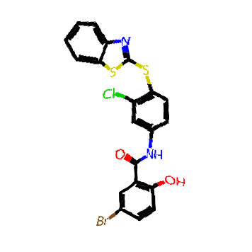 O=C(Nc1ccc(Sc2nc3ccccc3s2)c(Cl)c1)c1cc(Br)ccc1O